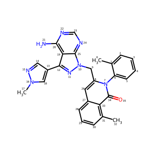 Cc1ccccc1-n1c(Cn2nc(-c3cnn(C)c3)c3c(N)ncnc32)cc2cccc(C)c2c1=O